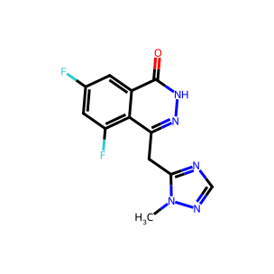 Cn1ncnc1Cc1n[nH]c(=O)c2cc(F)cc(F)c12